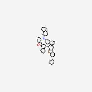 c1ccc(-c2ccc3c(c2)sc2c(-c4cc5c(oc6cccc(N(c7ccc8ccccc8c7)c7ccc8ccccc8c7)c65)c5ccccc45)cccc23)cc1